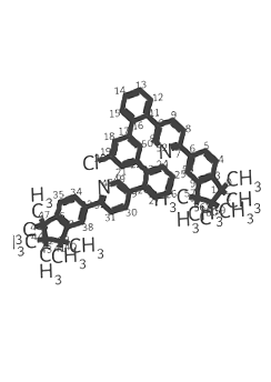 CC1(C)c2ccc(-c3ccc(-c4ccccc4-c4cc(Cl)cc(-c5ccccc5-c5ccc(-c6ccc7c(c6)C(C)(C)C(C)(C)C7(C)C)nc5)c4)cn3)cc2C(C)(C)C1(C)C